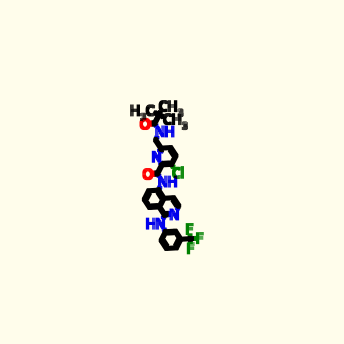 CC(C)(C)C(=O)NCc1ccc(Cl)c(C(=O)Nc2cccc3c(Nc4cccc(C(F)(F)F)c4)nccc23)n1